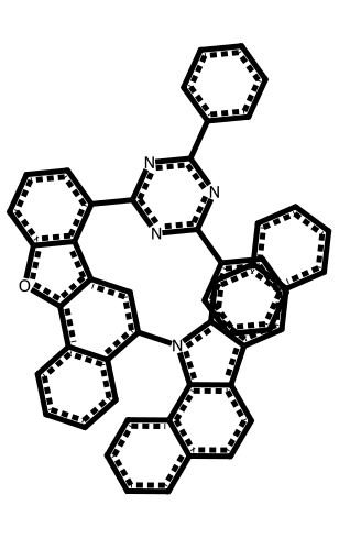 c1ccc(-c2nc(-c3ccccc3)nc(-c3cccc4oc5c6ccccc6c(-n6c7cc8ccccc8cc7c7ccc8ccccc8c76)cc5c34)n2)cc1